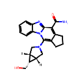 NC(=O)c1c2c(c(N3C[C@@H]4[C@H](CO)[C@@H]4C3)n3c1nc1ccccc13)CCC2